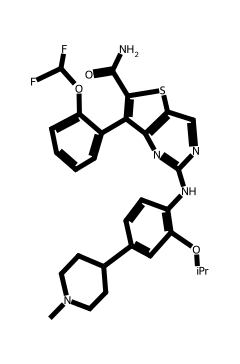 CC(C)Oc1cc(C2CCN(C)CC2)ccc1Nc1ncc2sc(C(N)=O)c(-c3ccccc3OC(F)F)c2n1